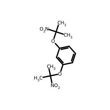 CC(C)(Oc1cccc(OC(C)(C)[N+](=O)[O-])c1)[N+](=O)[O-]